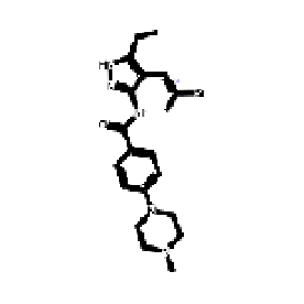 CCc1[nH]nc(NC(=O)c2ccc(N3CCN(C)CC3)cc2)c1/C=C(\C)Br